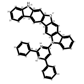 c1ccc(-c2cc(-n3c4ccccc4c4cc5oc6cc7[nH]c8ccccc8c7cc6c5cc43)nc(-c3ccccc3)n2)cc1